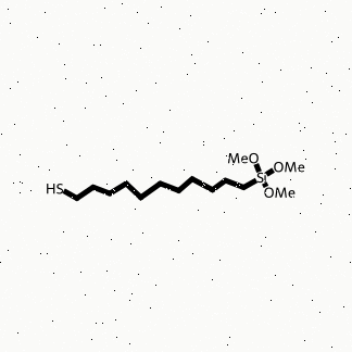 CO[Si](CCCCCCCCCCCS)(OC)OC